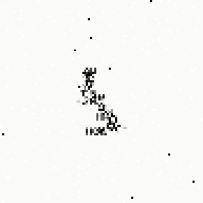 COc1cc(S(=O)(=O)O)c(C)cc1/N=N/C1C(=O)N(c2ccc(-c3nc4ccc5c(O)cc(SOOO)cc5c4[nH]3)cc2)N=C1C(=O)O